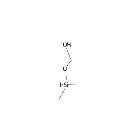 C[SiH](C)OCO